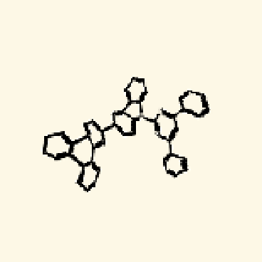 c1ccc(-c2cc(-c3ccccc3)nc(-n3c4ccccc4c4cc(-c5ccc6c7ccccc7c7ccccc7c6c5)ccc43)n2)cc1